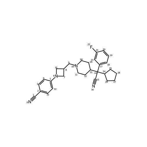 N#Cc1ccc(N2CC(CN3CCC(C(C#N)(c4cccc(F)c4)C4CCCC4)CC3)C2)cc1